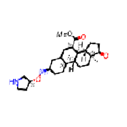 COC(=O)[C@@H]1CC2C/C(=N/O[C@@H]3CCNC3)CC[C@]2(C)[C@H]2CC[C@]3(C)C(=O)CC[C@H]3[C@H]12